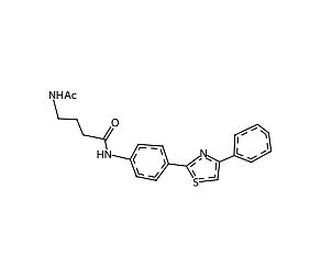 CC(=O)NCCCC(=O)Nc1ccc(-c2nc(-c3ccccc3)cs2)cc1